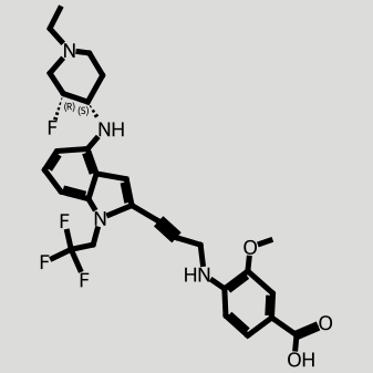 CCN1CC[C@H](Nc2cccc3c2cc(C#CCNc2ccc(C(=O)O)cc2OC)n3CC(F)(F)F)[C@H](F)C1